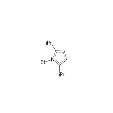 CCn1c(C(C)C)ccc1C(C)C